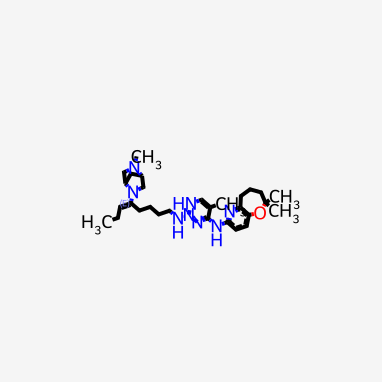 CC/C=C(\CCCCNN1N=C(Nc2ccc3c(n2)CCCC(C)(C)O3)C(C)=CN1)N1CC2CC1CN2C